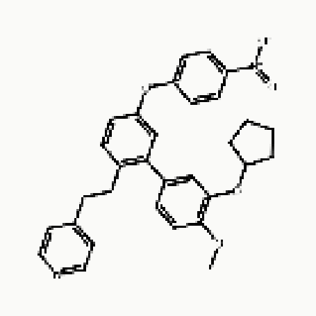 COc1ccc(-c2cc(Oc3ccc([N+](=O)[O-])cc3)ccc2CCc2ccncc2)cc1OC1CCCC1